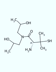 CC(O)CN(CC(C)O)C(=O)[C@@H](N)C(C)(C)S